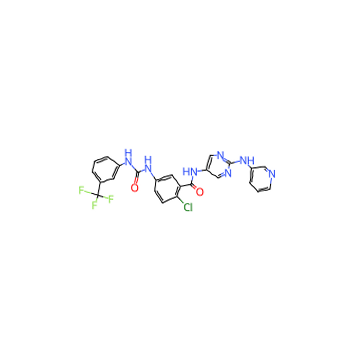 O=C(Nc1cccc(C(F)(F)F)c1)Nc1ccc(Cl)c(C(=O)Nc2cnc(Nc3cccnc3)nc2)c1